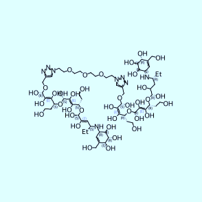 CC[C@H](CC(O)[C@H](O)O[C@H](CCO)/C(O)=C(\O)[C@H](O)O[C@H](CCO)/C(O)=C(/O)[C@@H](O)OCc1cn(CCOCCOCCOCCn2cc(CO[C@@H](O)/C(O)=C(\O)[C@H](CCO)O[C@H](O)/C(O)=C(\O)[C@H](CCO)O[C@H](O)/C(O)=C/[C@H](CC)N[C@@H]3C=C(CO)[C@H](O)[C@@H](O)[C@@H]3O)nn2)nn1)N[C@H]1C=C(CO)[C@@H](O)[C@H](O)[C@@H]1O